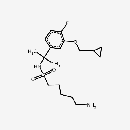 CC(C)(NS(=O)(=O)CCCCCN)c1ccc(F)c(OCC2CC2)c1